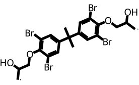 [CH2]C(O)COc1c(Br)cc(C(C)(C)c2cc(Br)c(OCC([CH2])O)c(Br)c2)cc1Br